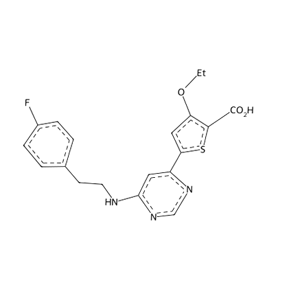 CCOc1cc(-c2cc(NCCc3ccc(F)cc3)ncn2)sc1C(=O)O